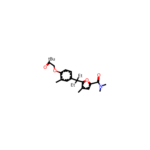 CCC(CC)(c1ccc(OCC(=O)C(C)(C)C)c(C)c1)c1oc(C(=O)N(C)C)cc1C